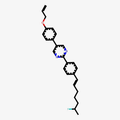 C=CCOc1ccc(-c2cnc(-c3ccc(C=CCCCC(C)F)cc3)nc2)cc1